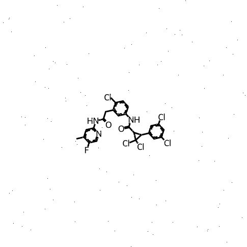 Cc1cc(NC(=O)Cc2cc(NC(=O)C3C(c4cc(Cl)cc(Cl)c4)C3(Cl)Cl)ccc2Cl)ncc1F